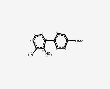 COc1ccc(-c2ccnc(N)c2[N+](=O)[O-])cc1